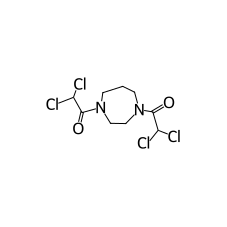 O=C(C(Cl)Cl)N1CCCN(C(=O)C(Cl)Cl)CC1